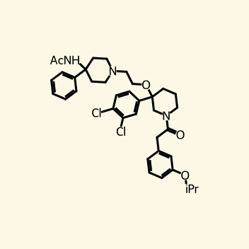 CC(=O)NC1(c2ccccc2)CCN(CCOC2(c3ccc(Cl)c(Cl)c3)CCCN(C(=O)Cc3cccc(OC(C)C)c3)C2)CC1